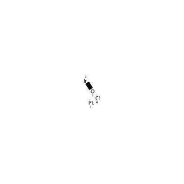 [C].[O]=[Ir].[Pt]